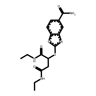 CCNC(=O)CC(Sc1nc2cc(C(N)=O)ccc2s1)C(=O)NCC